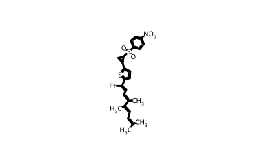 CC\C(=C/C=C(C)/C(C)=C/C=C(C)C)c1ccc(C2=CC2S(=O)(=O)c2ccc([N+](=O)[O-])cc2)s1